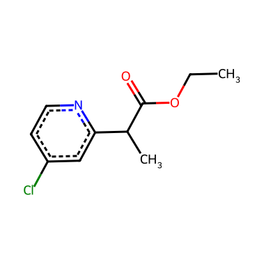 CCOC(=O)C(C)c1cc(Cl)ccn1